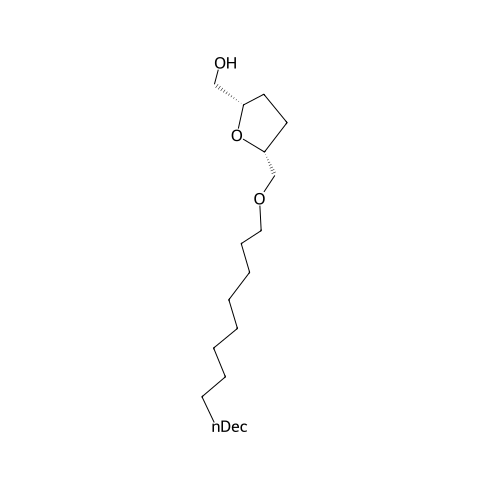 CCCCCCCCCCCCCCCCCCOC[C@H]1CC[C@@H](CO)O1